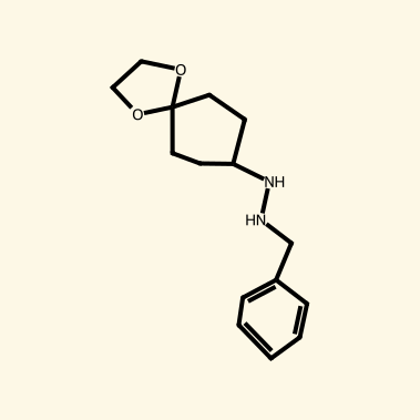 c1ccc(CNNC2CCC3(CC2)OCCO3)cc1